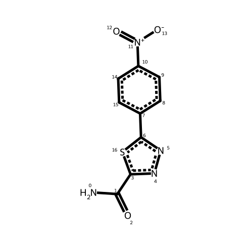 NC(=O)c1nnc(-c2ccc([N+](=O)[O-])cc2)s1